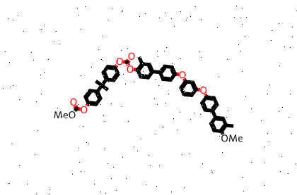 COC(=O)Oc1ccc(C(C)(C)c2ccc(OC(=O)Oc3ccc(-c4ccc(Oc5cccc(Oc6ccc(-c7ccc(OC)c(C)c7)cc6)c5)cc4)cc3C)cc2)cc1